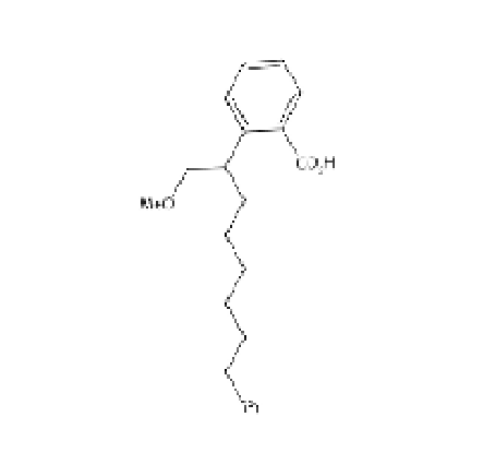 COCC(CCCCCCC(C)C)c1ccccc1C(=O)O